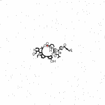 CCn1c(-c2cccnc2COC)c2c3cc(ccc31)-c1cc(O)cc(c1)C[C@H](NC(=O)C(C(C)C)N(C)C(=O)[C@H]1CCN(C(=O)C#CCN(C)C)C1)C(=O)N1CCC[C@H](N1)C(=O)OCC(C)(C)C2